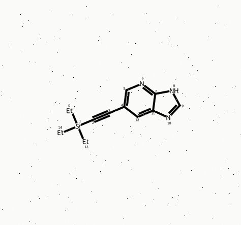 CC[Si](C#Cc1cnc2[nH]cnc2c1)(CC)CC